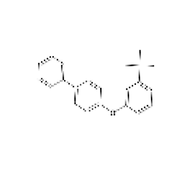 CC(C)(C)c1cccc(Oc2ccc(-c3ccccc3)cc2)c1